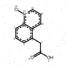 O=C(O)Cc1cccc2c1ccc[n+]2[O-]